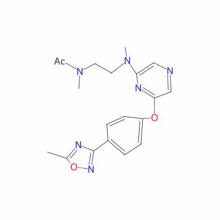 CC(=O)N(C)CCN(C)c1cncc(Oc2ccc(-c3noc(C)n3)cc2)n1